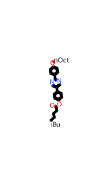 CCCCCCCCOc1ccc(-c2ncc(-c3ccc(OC(=O)CCCCC(C)CC)cc3)cn2)cc1